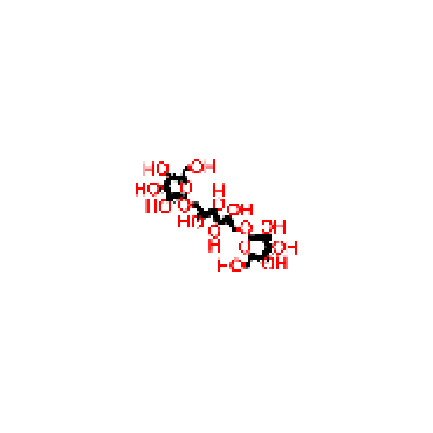 OC[C@H]1O[C@H](OC[C@@H](O)[C@@H](O)[C@H](O)[C@H](O)CO[C@H]2O[C@H](CO)[C@@H](O)[C@H](O)[C@H]2O)[C@H](O)[C@@H](O)[C@@H]1O